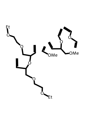 C=CC(COCCOCC)OC(C=C)COCCOCC.C=COC.C=COC(C=C)COC.C=COC=C